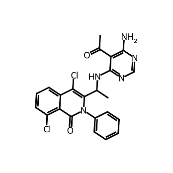 CC(=O)c1c(N)ncnc1NC(C)c1c(Cl)c2cccc(Cl)c2c(=O)n1-c1ccccc1